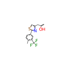 C=C(O)Cc1csc(-c2ccc(C)c(C(F)(F)F)c2)n1